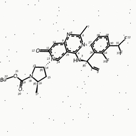 C=C[C@@H](Nc1nc(C)nc2cc(=O)n([C@@H]3C[C@@H](C)N(C(=O)OC(C)(C)C)C3)cc12)c1cccc(C(F)F)c1F